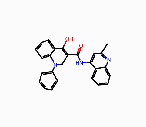 Cc1cc(NC(=O)C2=C(O)c3ccccc3N(c3ccccc3)C2)c2ccccc2n1